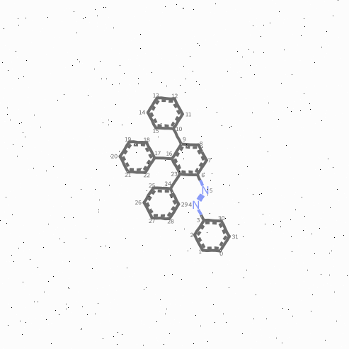 c1ccc(N=Nc2ccc(-c3ccccc3)c(-c3ccccc3)c2-c2ccccc2)cc1